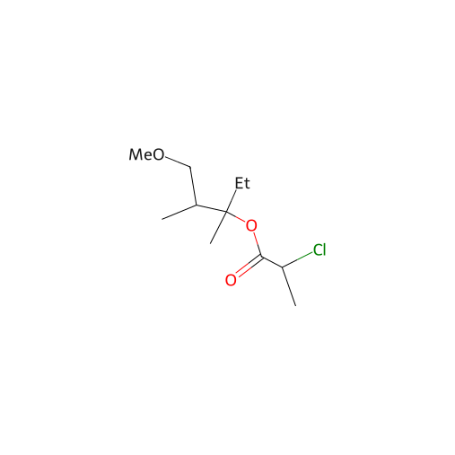 CCC(C)(OC(=O)C(C)Cl)C(C)COC